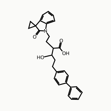 O=C(O)C(CCN1C(=O)C2(CC2)c2ccccc21)C(O)CCc1ccc(-c2ccccc2)cc1